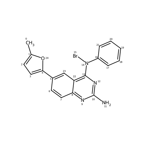 Cc1ccc(-c2ccc3nc(N)nc(N(Br)c4ccccc4)c3c2)o1